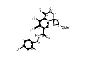 CCN1C[C@]2(C[C@@H](OC)C2)n2cc(C(=O)NCc3ccc(F)cc3F)c(=O)c(O)c2C1=O